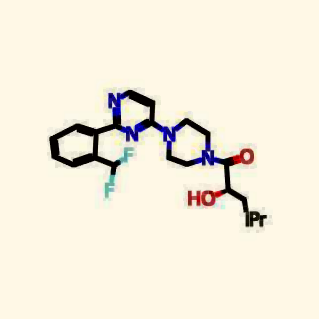 CC(C)C[C@@H](O)C(=O)N1CCN(c2ccnc(-c3ccccc3C(F)F)n2)CC1